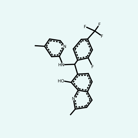 Cc1ccnc(NC(c2ccc(C(F)(F)F)cc2F)c2ccc3ccc(C)nc3c2O)c1